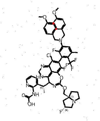 COc1ccc(CN(Cc2ccc(OC)cc2)c2cc(C)c(C(F)(F)F)c(-c3c(F)c4c5c(c3Cl)=NCNC=5C([C@H](C)c3cccnc3NC(=O)O)N=C(OC[C@@]35CCCN3C[C@H](F)C5)O4)c2F)cc1